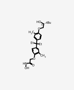 CCC(CC)(c1ccc(OCC(=O)NO)c(C)c1)c1ccc(OC[C@H](O)C(C)(C)C)c(C)c1